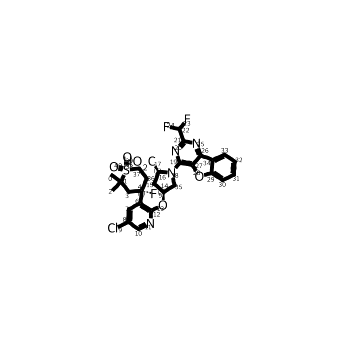 CC1(C)C[C@](F)(c2cc(Cl)cnc2O[C@H]2C[C@@H](C(=O)O)N(c3nc(C(F)F)nc4c3oc3ccccc34)C2)CCS1(=O)=O